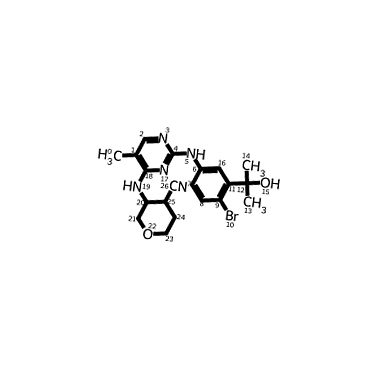 Cc1cnc(Nc2ccc(Br)c(C(C)(C)O)c2)nc1NC1COCCC1C#N